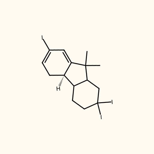 CC1(C)C2=CC(I)=CC[C@@H]2C2CCC(I)(I)CC21